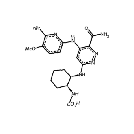 CCCc1nc(Nc2cc(N[C@@H]3CCCC[C@@H]3NC(=O)O)nnc2C(N)=O)ccc1OC